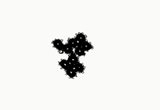 c1ccc(C2(c3cccc(N(c4ccc5c(c4)-c4ccccc4C54c5ccccc5-c5ccccc54)c4ccc5c(c4)sc4ccccc45)c3)c3ccccc3-c3ccccc32)cc1